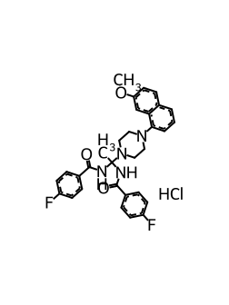 COc1ccc2cccc(N3CCN(C(C)(NC(=O)c4ccc(F)cc4)NC(=O)c4ccc(F)cc4)CC3)c2c1.Cl